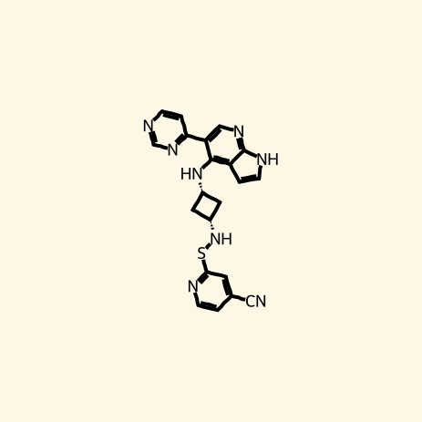 N#Cc1ccnc(SN[C@H]2C[C@@H](Nc3c(-c4ccncn4)cnc4[nH]ccc34)C2)c1